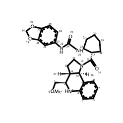 COC[C@@H]1Nc2ccccc2[C@H]2[C@H]1CCN2C(=O)[C@H]1CCCC[C@H]1NC(=O)Nc1ccc2c(c1)OCO2